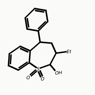 CCC1CC(c2ccccc2)c2ccccc2S(=O)(=O)C1O